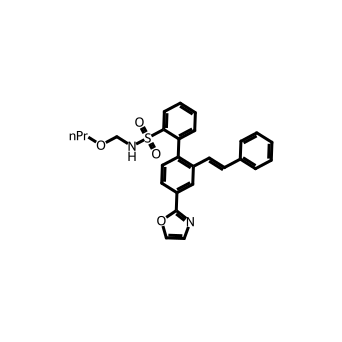 CCCOCNS(=O)(=O)c1ccccc1-c1ccc(-c2ncco2)cc1C=Cc1ccccc1